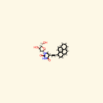 O=c1[nH]c(=O)n([C@@H]2CC(O)[C@H](CO)O2)cc1C#Cc1ccc2ccc3cccc4ccc1c2c34